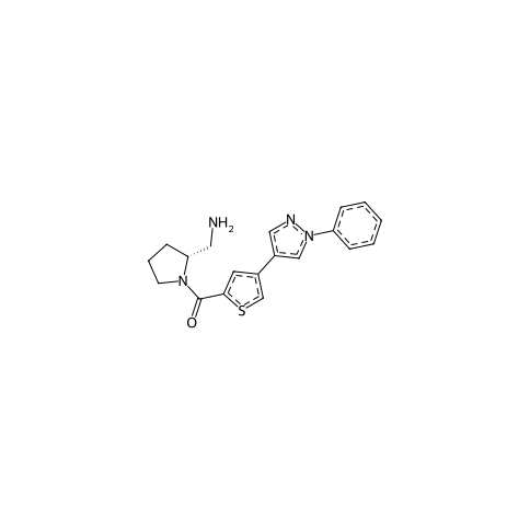 NC[C@H]1CCCN1C(=O)c1cc(-c2cnn(-c3ccccc3)c2)cs1